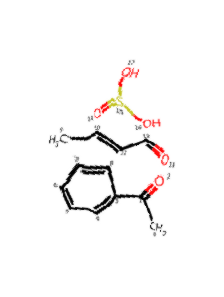 CC(=O)c1ccccc1.CC=CC=O.O=S(O)O